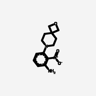 Nc1cccc(N2CCC3(CC2)COC3)c1[N+](=O)[O-]